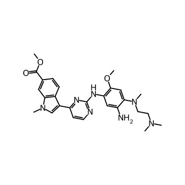 COC(=O)c1ccc2c(-c3ccnc(Nc4cc(N)c(N(C)CCN(C)C)cc4OC)n3)cn(C)c2c1